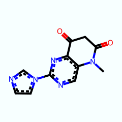 CN1C(=O)CC(=O)c2nc(-n3ccnc3)ncc21